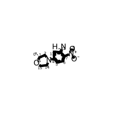 C[C@@H]1CN(c2ccc([N+](=O)[O-])c(N)c2)CCO1